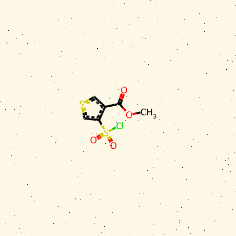 COC(=O)c1cscc1S(=O)(=O)Cl